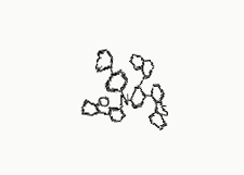 c1ccc(-c2ccc(N(c3ccc(-c4cccc5sc6ccccc6c45)c(-c4cccc5ccccc45)c3)c3cccc4c3oc3ccccc34)cc2)cc1